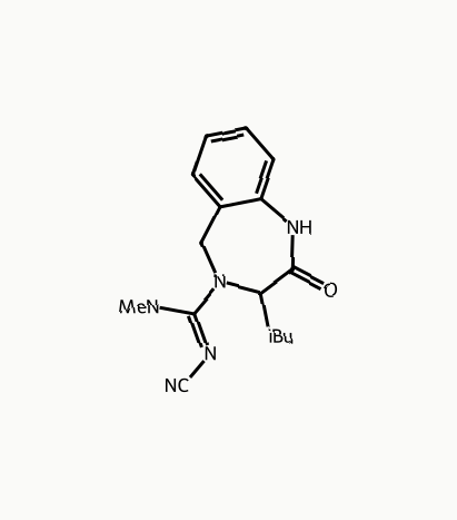 CCC(C)C1C(=O)Nc2ccccc2CN1C(=NC#N)NC